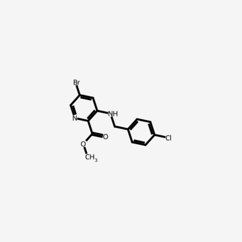 COC(=O)c1ncc(Br)cc1NCc1ccc(Cl)cc1